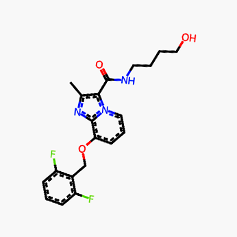 Cc1nc2c(OCc3c(F)cccc3F)cccn2c1C(=O)NCCCCO